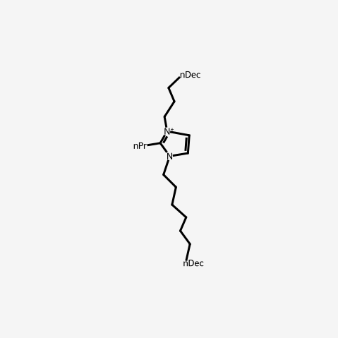 CCCCCCCCCCCCCCCCn1cc[n+](CCCCCCCCCCCCC)c1CCC